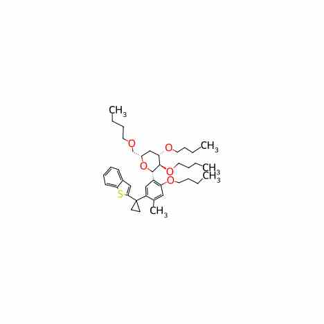 CCCCOC[C@@H]1C[C@H](OCCCC)[C@@H](OCCCC)[C@H](c2cc(C3(c4cc5ccccc5s4)CC3)c(C)cc2OCCCC)O1